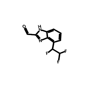 O=Cc1nc2c(C(F)C(F)F)cccc2[nH]1